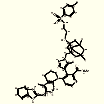 COC(=O)c1nccc(N2CCCc3c2nnc(Nc2nc4ccccc4s2)c3C)c1-c1cnn(CC23CC4(C)CC(C)(C2)CC(OCCOS(=O)(=O)c2ccc(C)cc2)(C4)C3)c1C